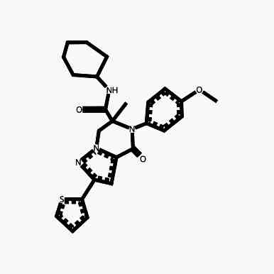 COc1ccc(N2C(=O)c3cc(-c4cccs4)nn3CC2(C)C(=O)NC2CCCCC2)cc1